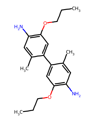 CCCOc1cc(-c2cc(OCCC)c(N)cc2C)c(C)cc1N